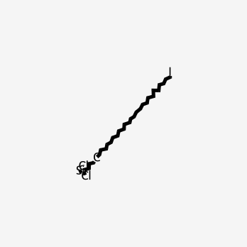 C[Si](Cl)(Cl)CCCCCCCCCCCCCCCCCCCCCCCCCCCCCI